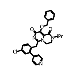 CC(C)N1CCn2c(Cc3ccc(Cl)cc3-c3ccncc3)nc(=O)c(OCc3ccccc3)c2C1=O